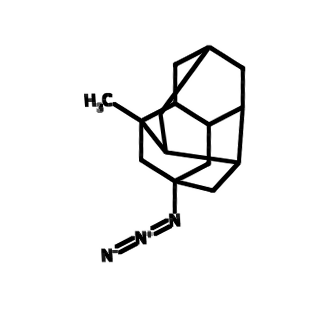 CC12CC3(N=[N+]=[N-])CC4C5CC(CC41)CC2C5C3